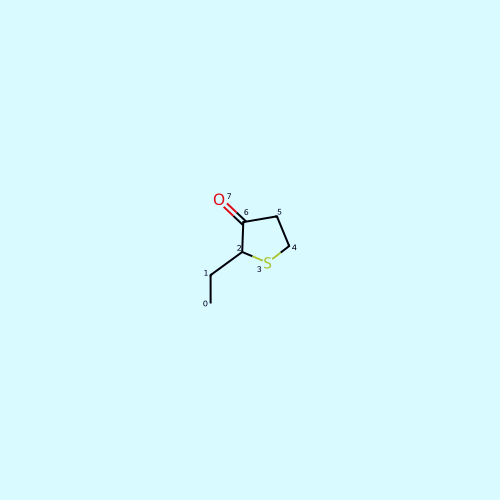 CCC1SCCC1=O